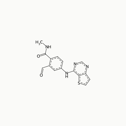 CNC(=O)c1ccc(Nc2ncnc3ccsc23)cc1C=O